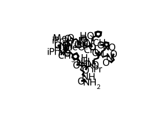 CCC(C)[C@@H](C(CC(=O)N1CCC[C@H]1[C@H](OC)[C@@H](C)C(=O)N[C@H](C)[C@@H](O)c1ccccc1)OC)N(C)C(=O)[C@@H](NC(=O)[C@H](C(C)C)N(C)C(=O)OCc1ccc(NC(=O)[C@H](CCCNC(N)=O)NC(=O)[C@@H](NC(=O)CCC(=O)N(CCN2C(=O)C=CC2=O)CCN2C(=O)C=CC2=O)C(C)C)cc1)C(C)C